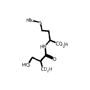 CCCCSCCC(NC(=O)C(CO)C(=O)O)C(=O)O